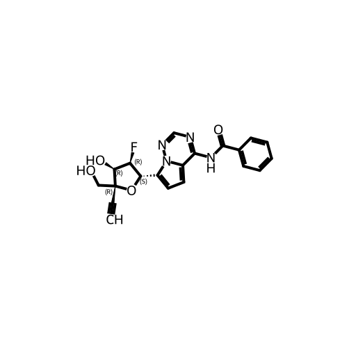 C#C[C@]1(CO)O[C@@H](c2ccc3c(NC(=O)c4ccccc4)ncnn23)[C@H](F)[C@@H]1O